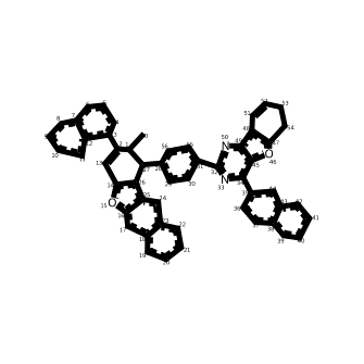 CC1C(c2cccc3ccccc23)=Cc2oc3cc4ccccc4cc3c2C1c1ccc(-c2nc(-c3ccc4ccccc4c3)c3oc4c(c3n2)C=CCC4)cc1